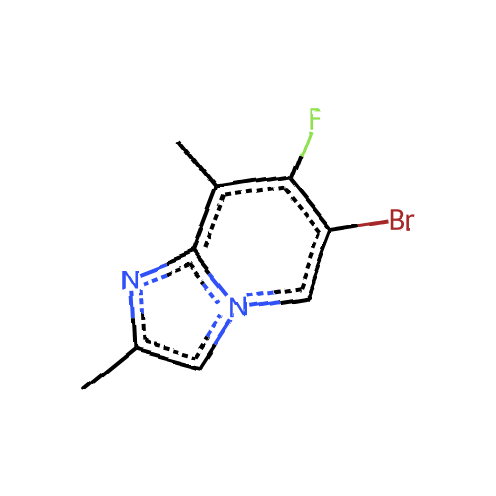 Cc1cn2cc(Br)c(F)c(C)c2n1